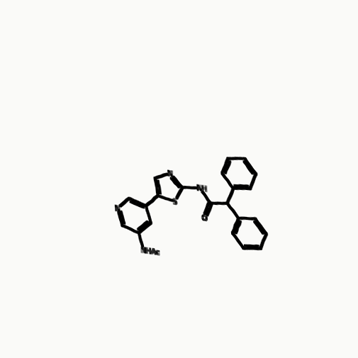 CC(=O)Nc1cncc(-c2cnc(NC(=O)C(c3ccccc3)c3ccccc3)s2)c1